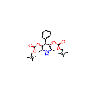 CC1=C(OC(=O)OC[Si](C)(C)C)C(c2ccccc2)C(OC(=O)OC[Si](C)(C)C)=C(C)N1